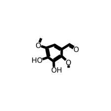 COc1cc(C=O)c(OC)c(O)c1O